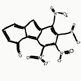 O=C1C=CC=C2C=c3c([N+](=O)[O-])c([N+](=O)[O-])c([N+](=O)[O-])c([N+](=O)[O-])c3=C12